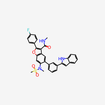 CNC(=O)c1c(-c2ccc(F)cc2)oc2cc(N(C)S(C)(=O)=O)c(-c3cccc(-c4cc5ccccc5[nH]4)c3)cc12